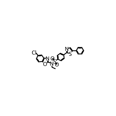 CCN(c1nc2cc(Cl)ccc2o1)S(=O)(=O)c1ccc(-c2ncc(-c3ccccc3)s2)cc1